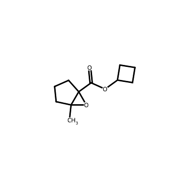 CC12CCCC1(C(=O)OC1CCC1)O2